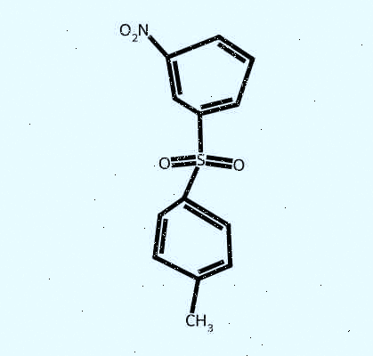 Cc1ccc(S(=O)(=O)c2cccc([N+](=O)[O-])c2)cc1